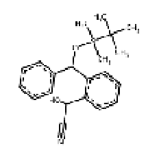 CC(C)(C)[Si](C)(C)OC(c1ccccc1)c1ccccc1C(O)C#N